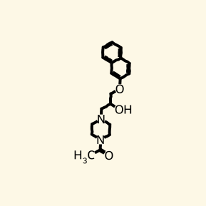 CC(=O)N1CCN(CC(O)COc2ccc3ccccc3c2)CC1